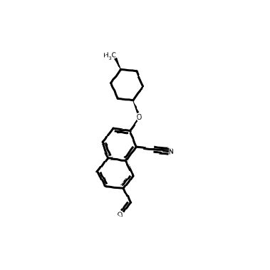 C[C@H]1CC[C@@H](Oc2ccc3ccc(C=O)cc3c2C#N)CC1